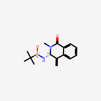 C=C1c2ccccc2C(=O)N(C)[C@H]1N[S@+]([O-])C(C)(C)C